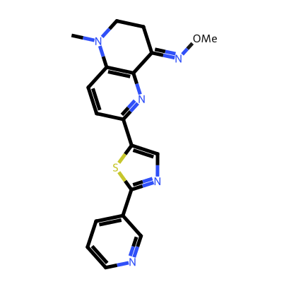 CO/N=C1\CCN(C)c2ccc(-c3cnc(-c4cccnc4)s3)nc21